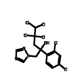 OC(Cn1cncn1)(CC(Cl)(Cl)C(Cl)Cl)c1ccc(Cl)cc1Cl